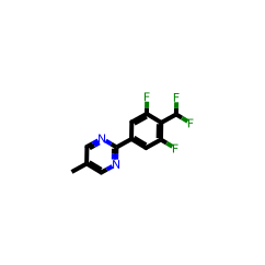 Cc1cnc(-c2cc(F)c(C(F)F)c(F)c2)nc1